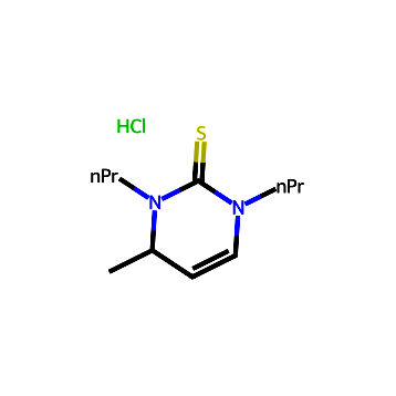 CCCN1C=CC(C)N(CCC)C1=S.Cl